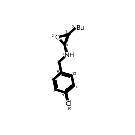 CCC(C)C1OC1NCc1ccc(Cl)cc1